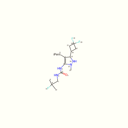 CCCC(C)C1=C(NC(=O)NCC(C)(C)F)N(C)NC1C1CC(F)(F)C1